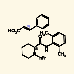 CCCN1CCCC[C@H]1C(=O)Nc1c(C)cccc1C.O=C(O)/C=C/c1ccccc1